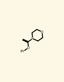 C=C(OC(C)C)N1CCOCC1